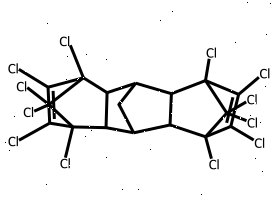 ClC1=C(Cl)C2(Cl)C3C4CC(C3C1(Cl)C2(Cl)Cl)C1C4C2(Cl)C(Cl)=C(Cl)C1(Cl)C2(Cl)Cl